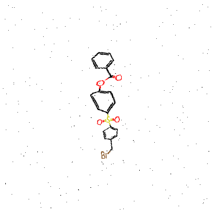 O=C(Oc1ccc(S(=O)(=O)c2ccc(CBr)cc2)cc1)c1ccccc1